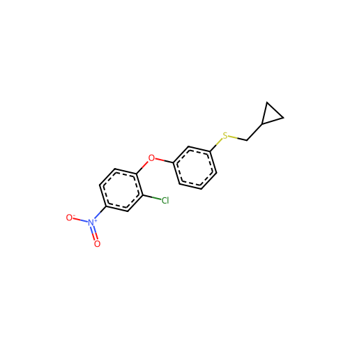 O=[N+]([O-])c1ccc(Oc2cccc(SCC3CC3)c2)c(Cl)c1